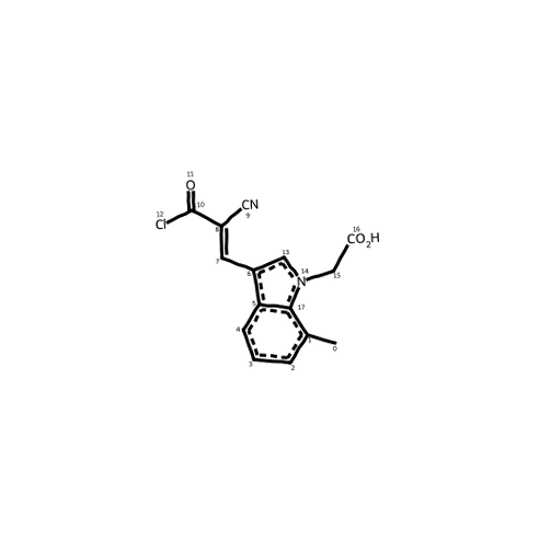 Cc1cccc2c(/C=C(\C#N)C(=O)Cl)cn(CC(=O)O)c12